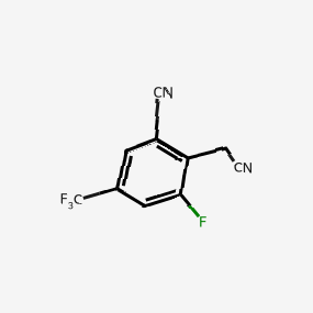 N#CCc1c(F)cc(C(F)(F)F)cc1C#N